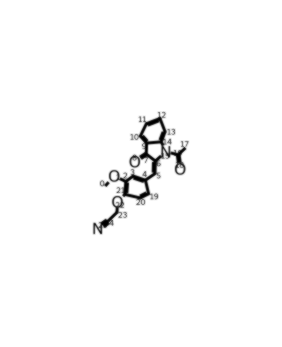 COc1cc(C=C2C(=O)c3ccccc3N2C(C)=O)ccc1OCC#N